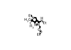 CCNc1c2c(nn1COOCC)C(C)(C)N(CC)C2